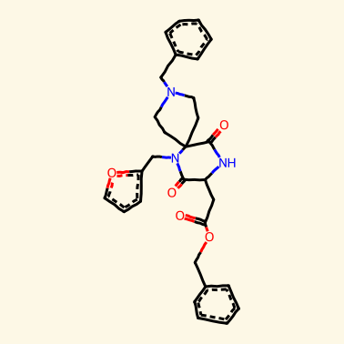 O=C(CC1NC(=O)C2(CCN(Cc3ccccc3)CC2)N(Cc2ccco2)C1=O)OCc1ccccc1